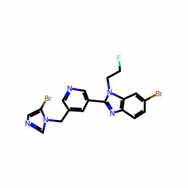 FCCn1c(-c2cncc(Cn3cncc3Br)c2)nc2ccc(Br)cc21